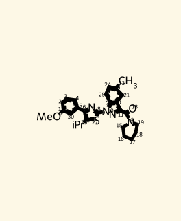 COc1cccc(-c2nc(-n3nc(C(=O)N4CCCCC4)c4cc(C)ccc43)sc2C(C)C)c1